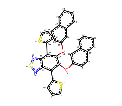 c1csc(-c2c(Oc3ccc4ccccc4c3)c(Oc3ccc4ccccc4c3)c(-c3cccs3)c3nsnc23)c1